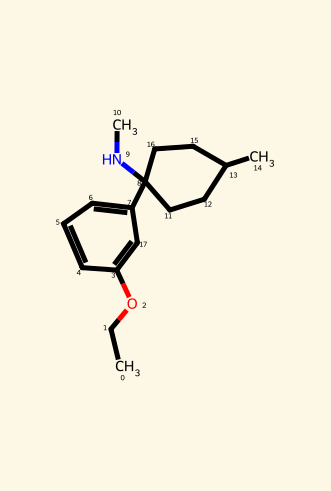 CCOc1cccc(C2(NC)CCC(C)CC2)c1